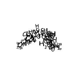 COCC(OC[C@H]1O[C@@H](n2ncc3c(NC4CCCC4)cc(Cl)nc32)[C@H](O)[C@@H]1O)(C(=O)N=S(C)(=O)NC(=O)C1CC1)P(=O)(O)O